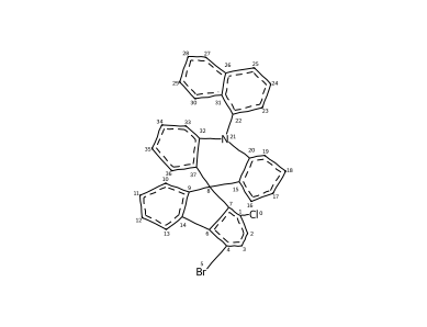 Clc1ccc(Br)c2c1C1(c3ccccc3-2)c2ccccc2N(c2cccc3ccccc23)c2ccccc21